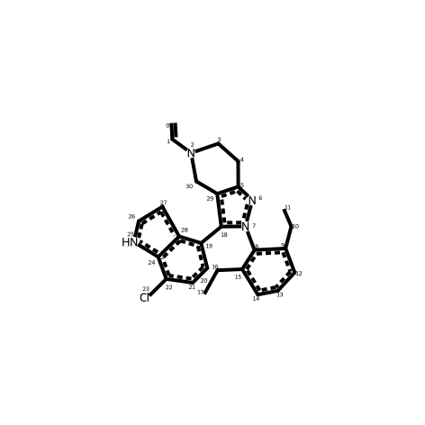 C=CN1CCc2nn(-c3c(CC)cccc3CC)c(-c3ccc(Cl)c4[nH]ccc34)c2C1